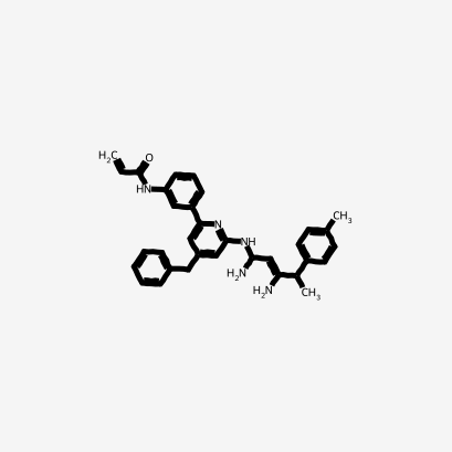 C=CC(=O)Nc1cccc(-c2cc(Cc3ccccc3)cc(NC(N)/C=C(\N)C(C)c3ccc(C)cc3)n2)c1